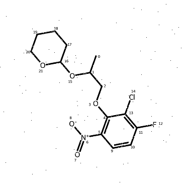 CC(COc1c([N+](=O)[O-])ccc(F)c1Cl)OC1CCCCO1